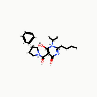 CCCCc1nc(=O)c(C(=O)N2CC[C@H](c3ccccc3)C2)c(O)n1C(C)C